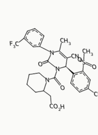 CC1=C(C#N)[C@@H](c2ccc(C#N)cc2S(C)(=O)=O)N(C(=O)N2CCCCC2CC(=O)O)C(=O)N1c1cccc(C(F)(F)F)c1